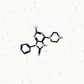 O=c1[nH]c2c(N3CCNCC3)nc(Cl)nc2n1-c1ccccc1